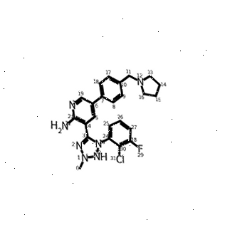 CN1N=C(c2cc(-c3ccc(CN4CCCC4)cc3)cnc2N)N(c2cccc(F)c2Cl)N1